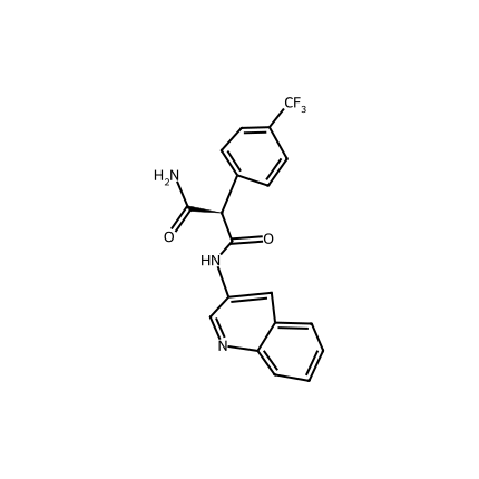 NC(=O)[C@H](C(=O)Nc1cnc2ccccc2c1)c1ccc(C(F)(F)F)cc1